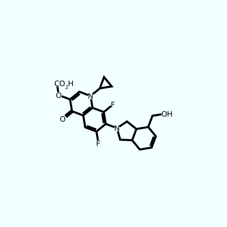 O=C(O)Oc1cn(C2CC2)c2c(F)c(N3CC4CC=CC(CO)C4C3)c(F)cc2c1=O